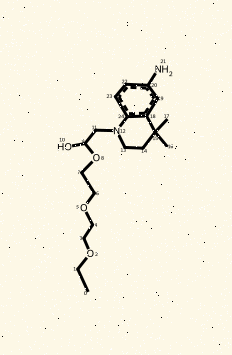 CCOCCOCCOC(O)CN1CCC(C)(C)c2cc(N)ccc21